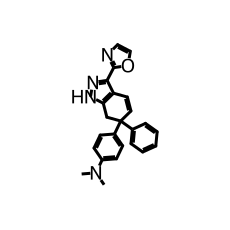 CN(C)c1ccc(C2(c3ccccc3)C=Cc3c(-c4ncco4)n[nH]c3C2)cc1